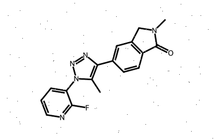 Cc1c(-c2ccc3c(c2)CN(C)C3=O)nnn1-c1cccnc1F